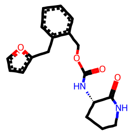 O=C(N[C@H]1CCCNC1=O)OCc1ccccc1Cc1ccco1